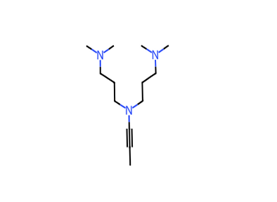 CC#CN(CCCN(C)C)CCCN(C)C